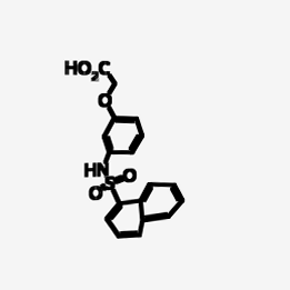 O=C(O)COc1cccc(NS(=O)(=O)c2cccc3ccccc23)c1